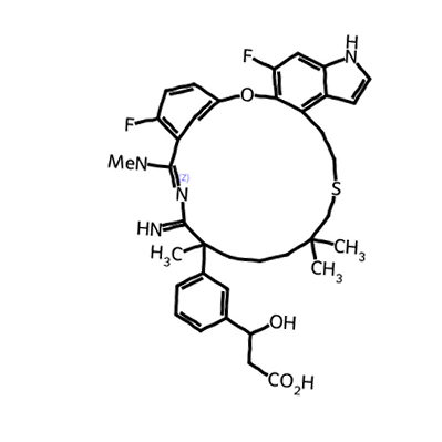 CN/C1=N\C(=N)C(C)(c2cccc(C(O)CC(=O)O)c2)CCCC(C)(C)CSCCc2c(c(F)cc3[nH]ccc23)Oc2ccc(F)c1c2